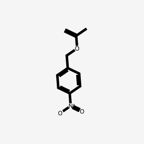 C=C(C)OCc1ccc([N+](=O)[O-])cc1